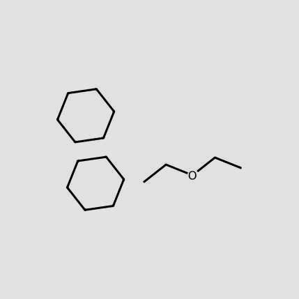 C1CCCCC1.C1CCCCC1.CCOCC